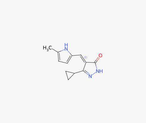 Cc1ccc(/C=C2/C(=O)NN=C2C2CC2)[nH]1